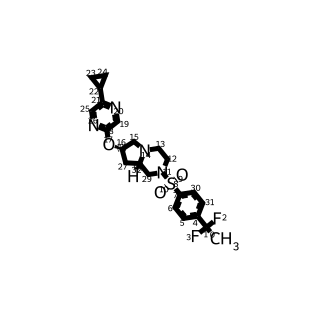 CC(F)(F)c1ccc(S(=O)(=O)N2CCN3C[C@H](Oc4cnc(C5CC5)cn4)C[C@H]3C2)cc1